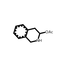 CC(=O)OC1Cc2ccccc2CN1